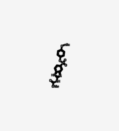 CCCCOc1ccc(OS(=O)(=O)c2ccc3[nH]c(NC(=O)OC)nc3c2)cc1